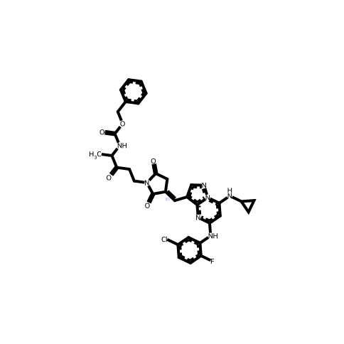 CC(NC(=O)OCc1ccccc1)C(=O)CCN1C(=O)C/C(=C\c2cnn3c(NC4CC4)cc(Nc4cc(Cl)ccc4F)nc23)C1=O